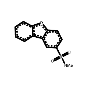 CNS(=O)(=O)c1ccc2oc3ccccc3c2c1